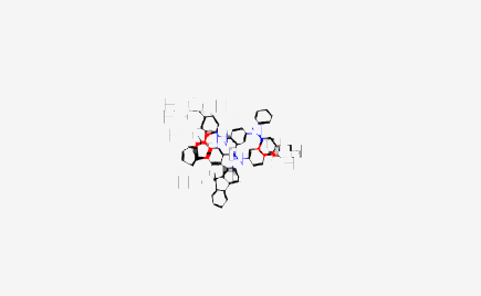 CC(C)(C)c1ccc(N2B3c4cc(N(c5ccccc5)c5ccccc5)ccc4N(c4ccc(C(C)(C)C)cc4-c4ccccc4)c4c3c(cc3c4C(C)(C)c4ccccc4-3)-c3c2ccc2c3C(C)(C)c3ccccc3-2)cc1